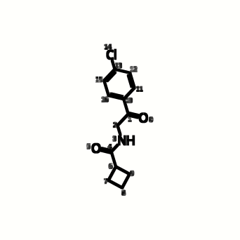 O=C(CNC(=O)C1CCC1)c1ccc(Cl)cc1